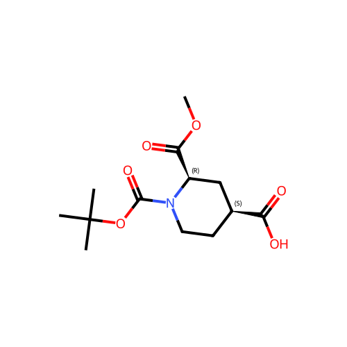 COC(=O)[C@H]1C[C@@H](C(=O)O)CCN1C(=O)OC(C)(C)C